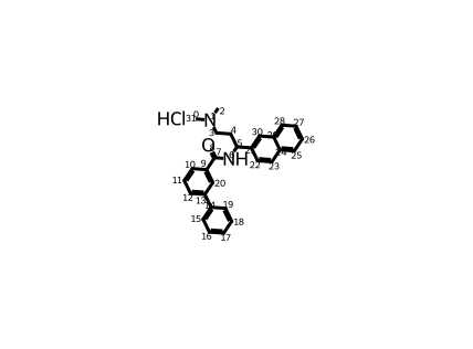 CN(C)CCC(NC(=O)c1cccc(-c2ccccc2)c1)c1ccc2ccccc2c1.Cl